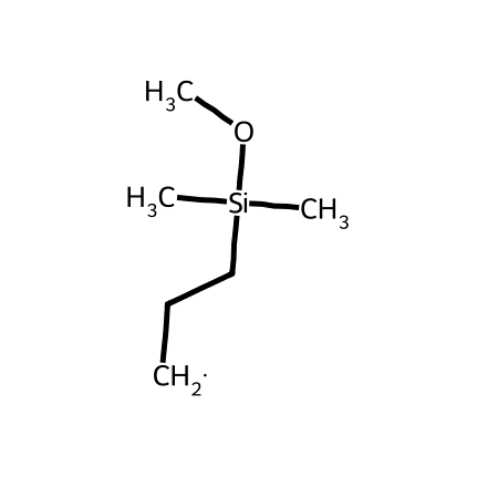 [CH2]CC[Si](C)(C)OC